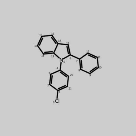 Clc1ccc(-n2c(-c3ccccc3)cc3ccccc32)cc1